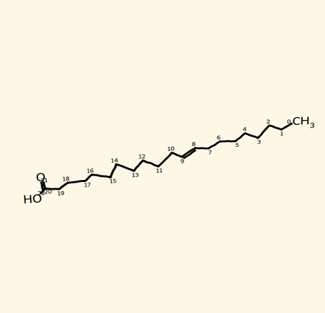 CCCCCCCCC=CCCCCCCCCCCC(=O)O